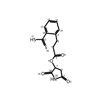 O=C1CC(OC(=O)CCc2ccccc2C(=S)S)C(=O)N1